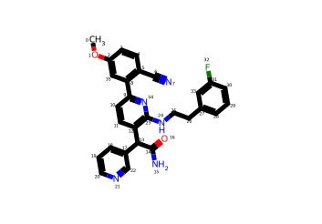 COc1ccc(C#N)c(-c2ccc(C(C(N)=O)c3cccnc3)c(NCCc3cccc(F)c3)n2)c1